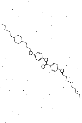 CCCCCCCCCOc1ccc(C(=O)Oc2ccc(OC/C=C/C3CCC(CCCCC)CC3)cc2)cc1